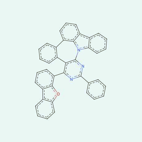 c1ccc(-c2nc(-c3cccc4c3oc3ccccc34)c3c(n2)-n2c4ccccc4c4cccc(c42)-c2ccccc2-3)cc1